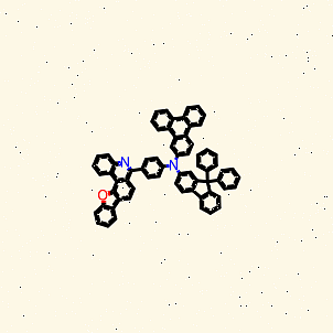 c1ccc(C2(c3ccccc3)c3ccccc3-c3ccc(N(c4ccc(-c5nc6ccccc6c6c5ccc5c7ccccc7oc56)cc4)c4ccc5c6ccccc6c6ccccc6c5c4)cc32)cc1